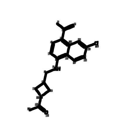 C=C(C)c1ccc(NCC2CN(C(C)=O)C2)c2cnc(Cl)cc12